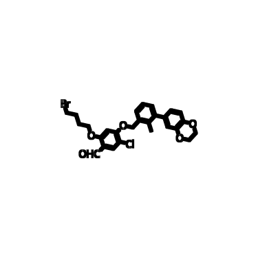 Cc1c(COc2cc(OCCCCBr)c(C=O)cc2Cl)cccc1-c1ccc2c(c1)OCCO2